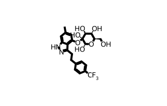 Cc1cc(O[C@]2(O)[C@@H](O)O[C@H](CO)[C@@H](O)[C@@H]2O)c2c(CCc3ccc(C(F)(F)F)cc3)n[nH]c2c1